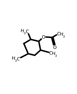 CC(=O)OC1C(C)CC(C)CC1C